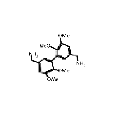 COc1cc(CN)cc(-c2cc(CN)cc(OC)c2OC)c1OC